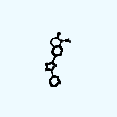 CN1C(=O)CCc2cc(-c3nc(-c4cccnc4)no3)ccc21